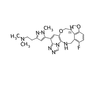 CN(C)CCc1cc(-c2cc3c(n4cnnc24)NCc2c(F)ccc4c2[C@@H](CO4)CO3)n(C)n1